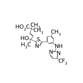 Cc1cc(Nc2nccc(C(F)(F)F)n2)cc(-c2cnc(C(C)(O)C=CC(C)(C)C(=O)O)s2)c1